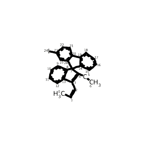 C/C=C\C1=C(CC)C2(c3ccccc31)c1ccccc1-c1ccc(I)cc12